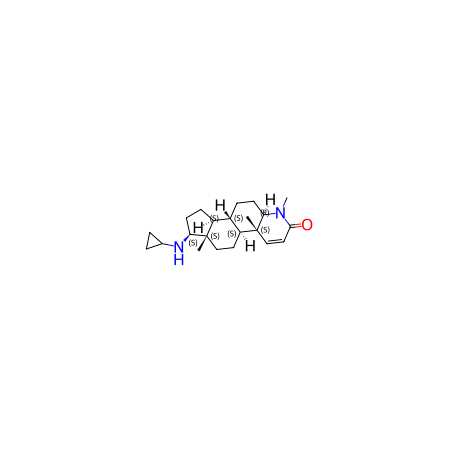 CN1C(=O)C=C[C@]2(C)[C@H]3CC[C@]4(C)[C@@H](NC5CC5)CC[C@H]4[C@@H]3CC[C@@H]12